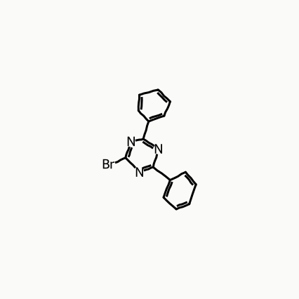 Brc1nc(-c2ccccc2)nc(-c2ccccc2)n1